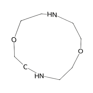 C1COCCNCCOCCN1